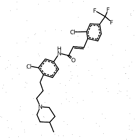 CC1CCN(CCCc2ccc(NC(=O)/C=C/c3ccc(C(F)(F)F)cc3Cl)cc2Cl)CC1